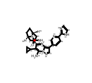 NC(=O)N1[C@@H]2CC[C@H]1C[C@H](c1nc3c(-c4ccc(-c5ncc[nH]5)nc4)cnn3c(N)c1C1CC1)C2